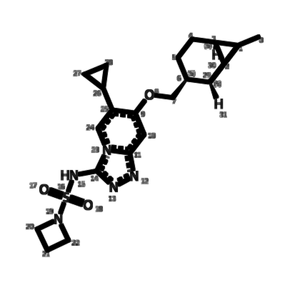 CC12C3[C@@H]1CC[C@H](COc1cc4nnc(NS(=O)(=O)N5CCC5)n4cc1C1CC1)[C@H]32